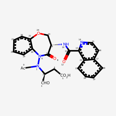 CC(=O)N([C@H](C=O)CC(=O)O)N1C(=O)[C@@H](NC(=O)c2nccc3ccccc23)COc2ccccc21